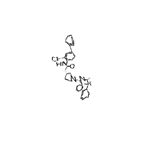 Cc1nc(N2CC[C@H](CC(=O)Nc3ccc(-c4ccccc4)cc3Cl)C2)c2oc3ccccc3c2n1